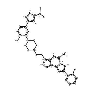 Cc1cccnc1-c1nc2c3cnn(CCN4CCN(c5cc(-c6nnc(N(C)C)o6)ccc5F)CC4)c3nc(N)n2n1